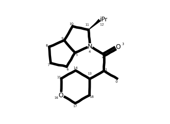 CC(C(=O)N1C2CCCC2C[C@H]1C(C)C)C1CCOCC1